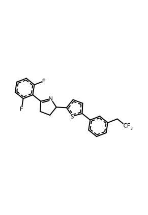 Fc1cccc(F)c1C1=NC(c2ccc(-c3cccc(CC(F)(F)F)c3)s2)CC1